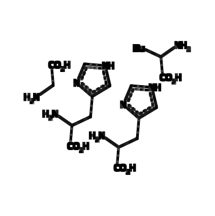 CCC(C)C(N)C(=O)O.NC(Cc1c[nH]cn1)C(=O)O.NC(Cc1c[nH]cn1)C(=O)O.NCC(=O)O